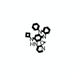 COc1ncccc1Nc1cc2nc3ccccc3n(-c3ccccc3)c-2c/c1=N\C1CCC1